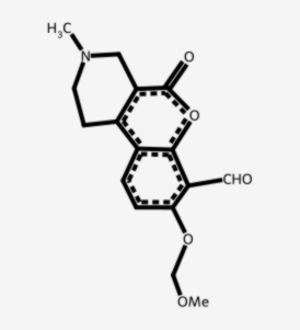 COCOc1ccc2c3c(c(=O)oc2c1C=O)CN(C)CC3